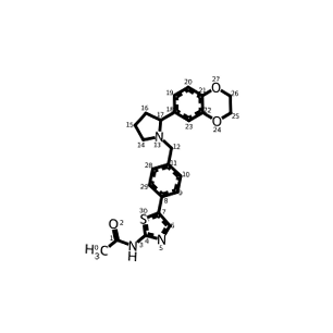 CC(=O)Nc1ncc(-c2ccc(CN3CCCC3c3ccc4c(c3)OCCO4)cc2)s1